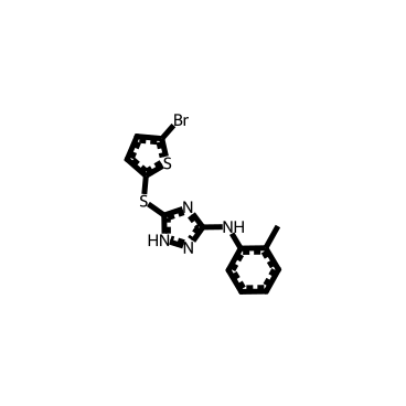 Cc1ccccc1Nc1n[nH]c(Sc2ccc(Br)s2)n1